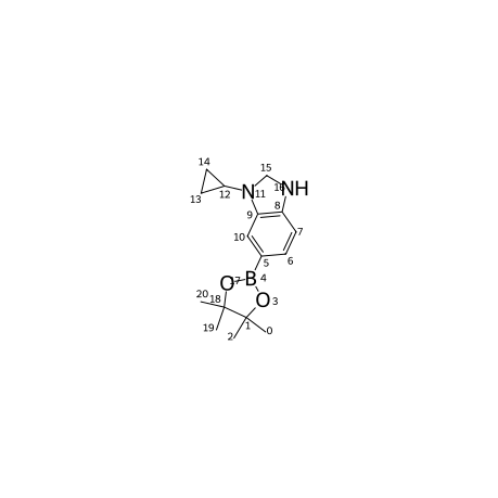 CC1(C)OB(c2ccc3c(c2)N(C2CC2)CN3)OC1(C)C